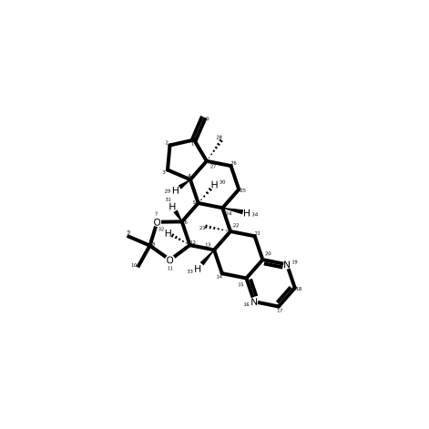 C=C1CC[C@H]2[C@@H]3[C@H]4OC(C)(C)O[C@@H]4[C@H]4Cc5nccnc5C[C@]4(C)[C@H]3CC[C@]12C